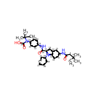 CC(C)(C)CC(=O)Nc1ccc2c(c1)cc(C(=O)Nc1ccc(N(C(=O)O)C(C)(C)C)cc1)n2-c1ccccc1